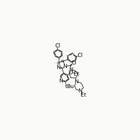 CCOc1cc(C(C)(C)C)ncc1C1=N[C@@](C)(c2ccc(Cl)cc2)[C@@](C)(c2ccc(Cl)cc2)N1C(=O)N1CCC(N2CCN(CC)CC2)CC1